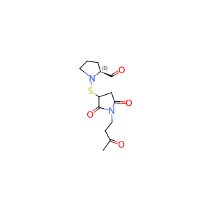 CC(=O)CCN1C(=O)CC(SN2CCC[C@H]2C=O)C1=O